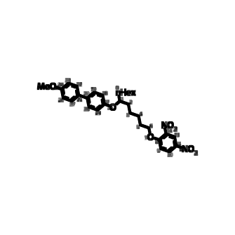 CCCCCCC(CCCCCOc1ccc([N+](=O)[O-])cc1[N+](=O)[O-])Oc1ccc(-c2ccc(OC)cc2)cc1